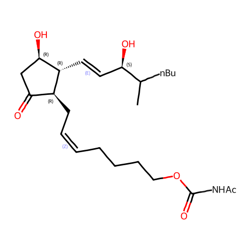 CCCCC(C)[C@H](O)/C=C/[C@H]1[C@H](O)CC(=O)[C@@H]1C/C=C\CCCCOC(=O)NC(C)=O